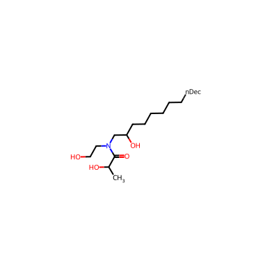 CCCCCCCCCCCCCCCCC(O)CN(CCO)C(=O)C(C)O